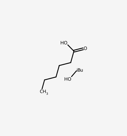 CCC(C)O.CCCCCC(=O)O